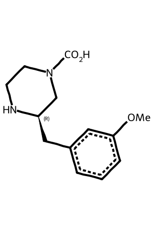 COc1cccc(C[C@@H]2CN(C(=O)O)CCN2)c1